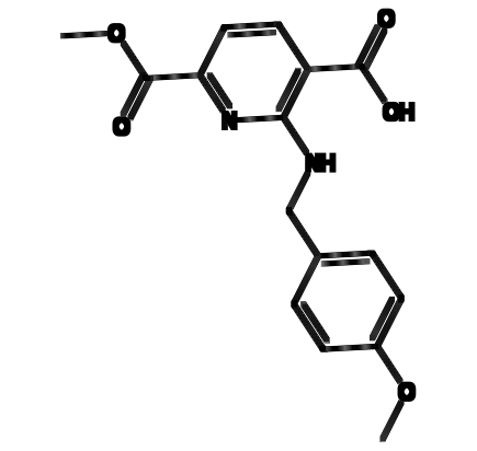 COC(=O)c1ccc(C(=O)O)c(NCc2ccc(OC)cc2)n1